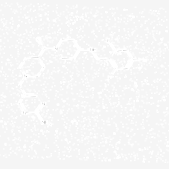 Nc1ncc(CN2CCC(C(=O)N3CCC(NCc4c(F)cc(F)cc4F)CC3)CC2)cn1